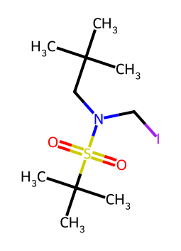 CC(C)(C)CN(CI)S(=O)(=O)C(C)(C)C